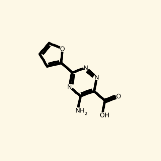 Nc1nc(-c2ccco2)nnc1C(=O)O